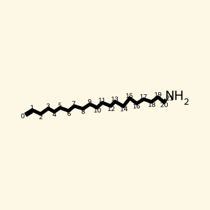 C=CCCCCCCCCCCCCCCCCCCCN